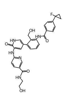 O=C(NCCO)c1ccc(Nc2cc(-c3cccc(NC(=O)c4ccc(C5(F)CC5)cc4)c3CO)c[nH]c2=O)nc1